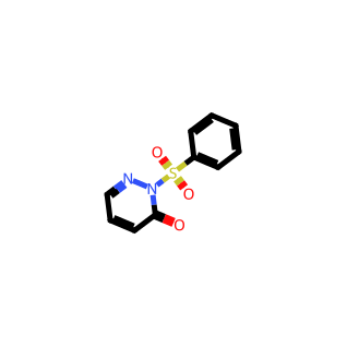 O=c1cccnn1S(=O)(=O)c1ccccc1